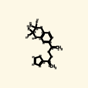 C=C(CCC(=C)c1ccc2c(c1)SC(F)(F)C(F)(F)C2)C1=CC=CC1